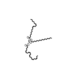 CC/C=C\C/C=C\C/C=C\C/C=C\C/C=C\CCCC(=O)OC[C@H](COC(=O)CCCCCCC/C=C\C/C=C\CCCCC)OC(=O)CCCCCCCCCCCCCCC